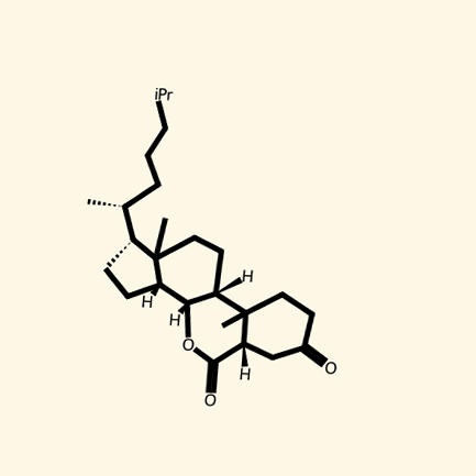 CC(C)CCC[C@@H](C)[C@H]1CC[C@H]2[C@H]3OC(=O)[C@H]4CC(=O)CCC4(C)[C@H]3CCC12C